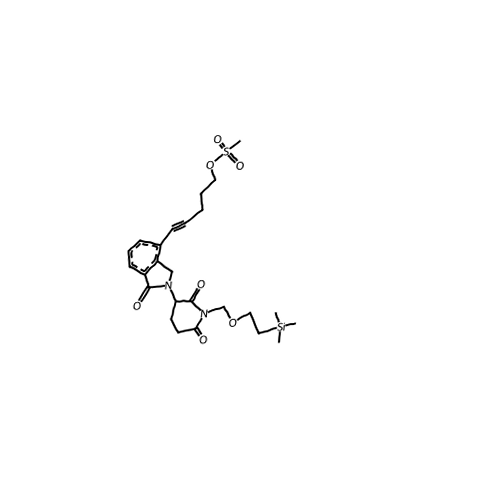 C[Si](C)(C)CCOCN1C(=O)CCC(N2Cc3c(C#CCCCOS(C)(=O)=O)cccc3C2=O)C1=O